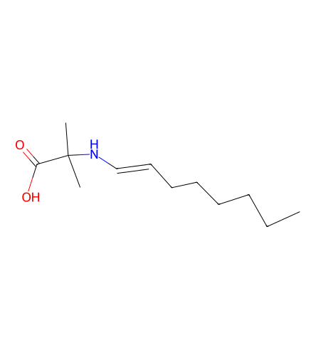 CCCCCCC=CNC(C)(C)C(=O)O